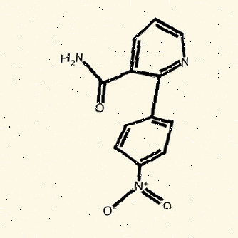 NC(=O)c1cccnc1-c1ccc([N+](=O)[O-])cc1